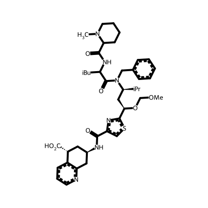 CCC(C)C(NC(=O)C1CCCCN1C)C(=O)N(Cc1ccccc1)[C@H](C[C@@H](OCOC)c1nc(C(=O)N[C@H]2Cc3ncccc3[C@H](C(=O)O)C2)cs1)C(C)C